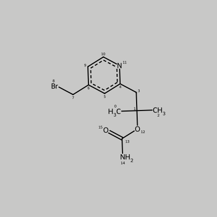 CC(C)(Cc1cc(CBr)ccn1)OC(N)=O